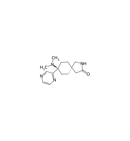 CN(C)[C@]1(c2cnccn2)CC[C@]2(CC1)CNC(=O)C2